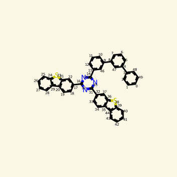 c1ccc(-c2cccc(-c3cccc(-c4nc(-c5ccc6c(c5)sc5ccccc56)nc(-c5ccc6c(c5)sc5ccccc56)n4)c3)c2)cc1